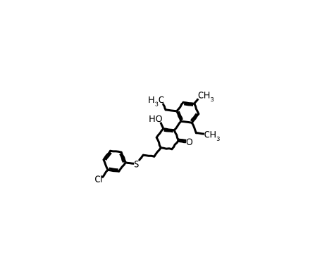 CCc1cc(C)cc(CC)c1C1=C(O)CC(CCSc2cccc(Cl)c2)CC1=O